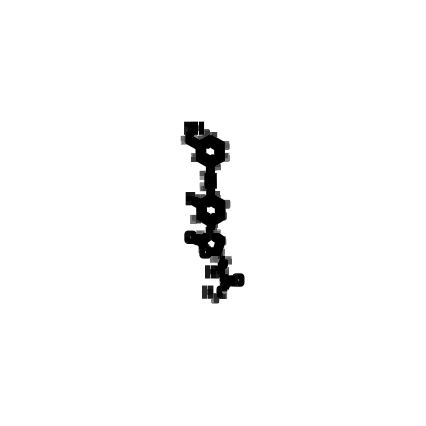 CC(=O)NC[C@H]1CN(c2ccc(C#Cc3cccc(CN)c3)c(F)c2)C(=O)O1